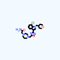 NC(=O)CN1CCCN(Cc2nc(-c3cn(CC4CCOCC4)c4c(Cl)cccc34)no2)CC1